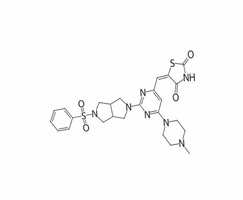 CN1CCN(c2cc(C=C3SC(=O)NC3=O)nc(N3CC4CN(S(=O)(=O)c5ccccc5)CC4C3)n2)CC1